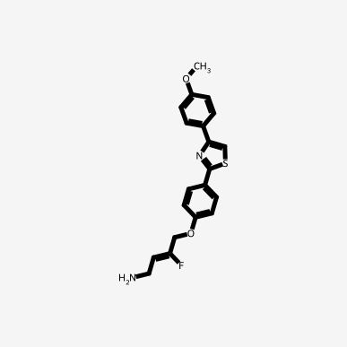 COc1ccc(-c2csc(-c3ccc(OCC(F)=CCN)cc3)n2)cc1